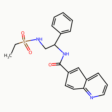 CCS(=O)(=O)NCC(NC(=O)c1ccc2ncccc2c1)c1ccccc1